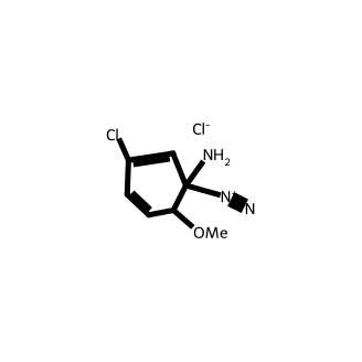 COC1C=CC(Cl)=CC1(N)[N+]#N.[Cl-]